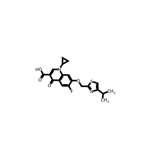 CC(C)c1csc(COc2cc3c(cc2F)c(=O)c(C(=O)O)cn3C2CC2)n1